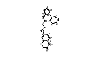 O=C1CCc2cc(OCCCSc3nccn3-c3cccnc3)ccc2N1